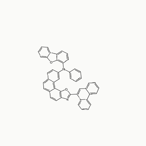 c1ccc(N(c2ccc3ccc4ccc5nc(-c6cc7ccccc7c7ccccc67)oc5c4c3c2)c2cccc3c2oc2ccccc23)cc1